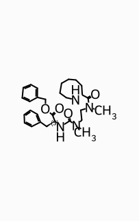 CN(CCN(C)C(=O)C1CCCCCCN1)C(=O)N[C@@H](Cc1ccccc1)C(=O)OCc1ccccc1